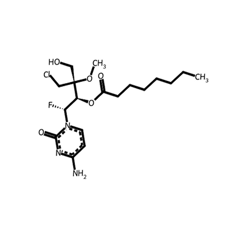 CCCCCCCC(=O)O[C@@H]([C@@H](F)n1ccc(N)nc1=O)[C@](CO)(CCl)OC